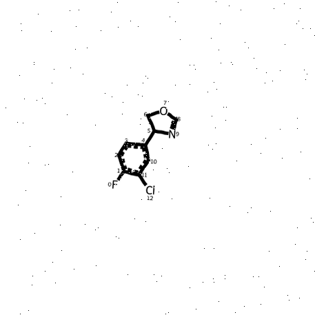 Fc1ccc(C2CO[C]=N2)cc1Cl